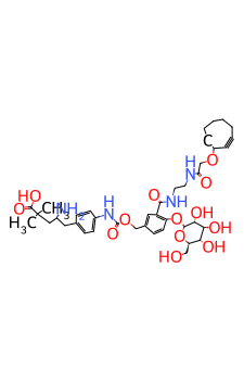 CC(C)(C[C@@H](N)Cc1ccc(NC(=O)OCc2ccc(O[C@@H]3O[C@H](CO)[C@@H](O)[C@H](O)[C@H]3O)c(C(=O)NCCNC(=O)COC3C#CCCCCC3)c2)cc1)C(=O)O